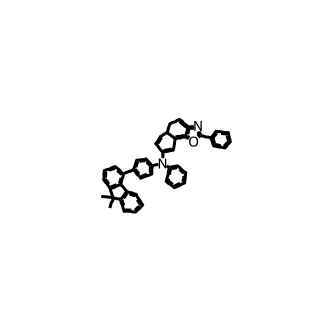 CC1(C)c2ccccc2-c2c(-c3ccc(N(C4=CC5=c6oc(-c7ccccc7)nc6=CCC5C=C4)c4ccccc4)cc3)cccc21